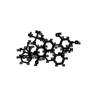 [2H]C([2H])([2H])Oc1cc([C@H](Cc2c(Cl)c[n+]([O-])cc2Cl)c2c(CN(C(=O)O[C@H]3CN4CCC3CC4)c3cccc(F)c3)cccc2C(=O)O)ccc1OC(F)F